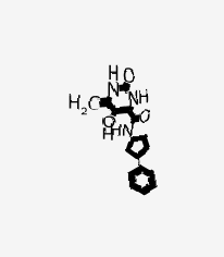 C=C1NC(=O)NC(C(=O)N[C@@H]2CC[C@H](c3ccccc3)C2)=C1O